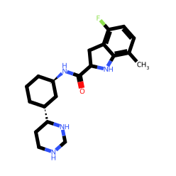 Cc1ccc(F)c2c1NC(C(=O)N[C@@H]1CCC[C@@H](C3CCNCN3)C1)C2